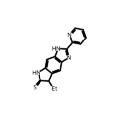 CCC1C(=S)Nc2cc3[nH]c(-c4ccccn4)nc3cc21